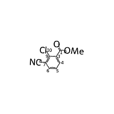 COC(=O)c1cccc(C#N)c1Cl